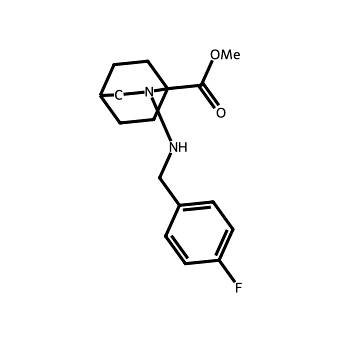 COC(=O)C12CCC(CC1)CN2NCc1ccc(F)cc1